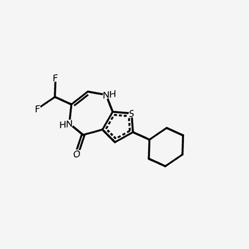 O=C1NC(C(F)F)=CNc2sc(C3CCCCC3)cc21